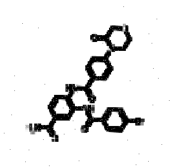 NC(=O)c1ccc(NC(=O)c2ccc(N3CCOCC3=O)cc2)c(NC(=O)c2ccc(Br)cc2)c1